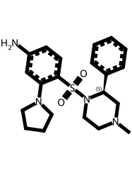 CN1CCN(S(=O)(=O)c2ccc(N)cc2N2CCCC2)[C@@H](c2ccccc2)C1